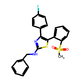 CS(=O)(=O)c1ccccc1-c1sc(NCc2ccccc2)nc1-c1ccc(F)cc1